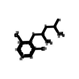 CC(N)CC(N)Cc1c(Cl)cncc1Cl